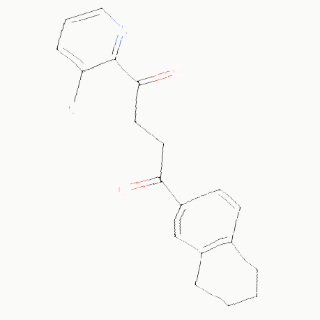 O=C(CCC(=O)c1ncccc1C(F)(F)F)c1ccc2c(c1)CCCC2